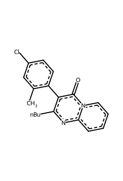 CCCCc1nc2ccccn2c(=O)c1-c1ccc(Cl)cc1C